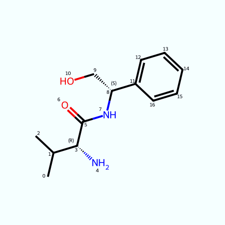 CC(C)[C@@H](N)C(=O)N[C@H](CO)c1ccccc1